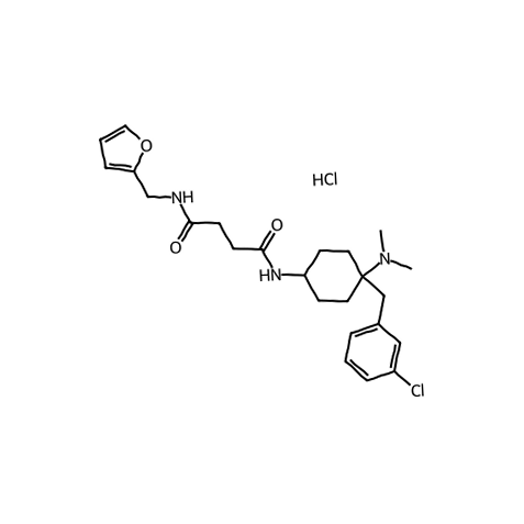 CN(C)C1(Cc2cccc(Cl)c2)CCC(NC(=O)CCC(=O)NCc2ccco2)CC1.Cl